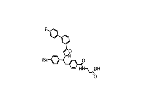 CC(C)(C)c1ccc(C(Cc2ccc(C(=O)NCCS(=O)O)cc2)c2cc(-c3cccc(-c4ccc(F)cc4)c3)on2)cc1